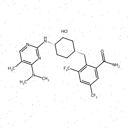 Cc1cnc(N[C@H]2CC[C@@H](Cc3c(C(N)=O)cc(C(F)(F)F)cc3C(F)(F)F)CC2)nc1N(C)C.Cl